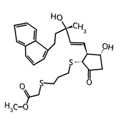 COC(=O)CSCCCS[C@H]1C(=O)C[C@@H](O)[C@@H]1/C=C/[C@@](C)(O)CCc1cccc2ccccc12